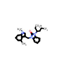 Cc1cccc2c1c(Cn1c(=O)n(C(CCC(F)(F)F)CC(=O)O)c3ccccc31)cn2C